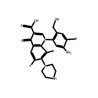 Nc1cc(-n2cc(C(=O)O)c(=O)c3cc(F)c(N4CCNCC4)c(Br)c32)c(CO)cc1F